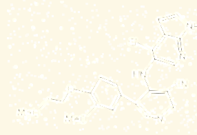 COCCOc1ccc(-c2cncc(C#N)c2Nc2cnc3[nH]ccc3c2Cl)cc1OC